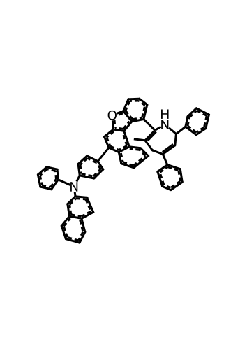 CC1=C(c2cccc3oc4cc(-c5ccc(N(c6ccccc6)c6ccc7ccccc7c6)cc5)c5ccccc5c4c23)NC(c2ccccc2)C=C(c2ccccc2)C1